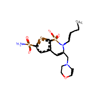 CC(=O)OCCCN1C(CN2CCOCC2)=Cc2cc(S(N)(=O)=O)sc2S1(=O)=O